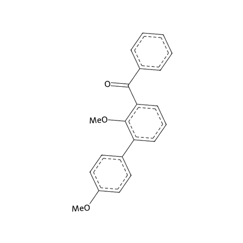 COc1ccc(-c2cccc(C(=O)c3ccccc3)c2OC)cc1